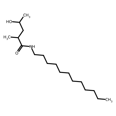 CCCCCCCCCCCCNC(=O)C(C)CC(C)O